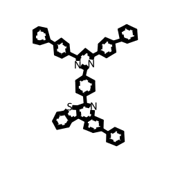 c1ccc(-c2ccc(-c3cc(-c4ccc(-c5ccccc5)cc4)nc(-c4ccc(-c5nc6cc(-c7ccccc7)ccc6c6c5sc5ccccc56)cc4)n3)cc2)cc1